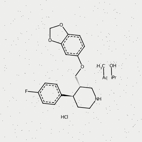 CC(C)=O.CC(C)O.Cl.Fc1ccc([C@@H]2CCNC[C@H]2COc2ccc3c(c2)OCO3)cc1